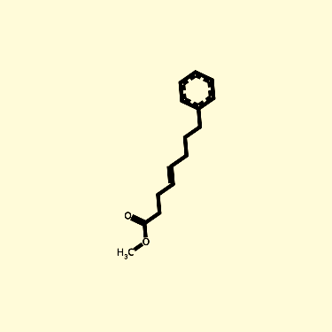 COC(=O)CC/C=C/CCCc1ccccc1